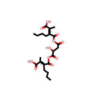 CCCC/C(C(=O)OC(=O)CC(O)C(=O)OC(=O)/C(CCCC)=C(\C)C(=O)O)=C(/C)C(=O)O